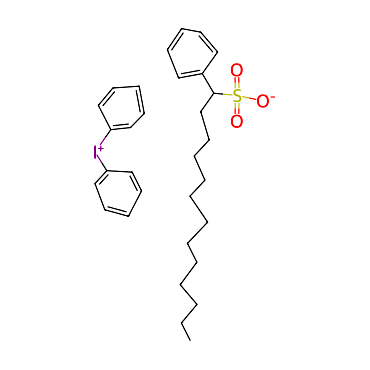 CCCCCCCCCCCCC(c1ccccc1)S(=O)(=O)[O-].c1ccc([I+]c2ccccc2)cc1